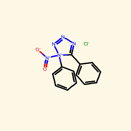 O=[N+]([O-])[N+]1(c2ccccc2)N=NN=C1c1ccccc1.[Cl-]